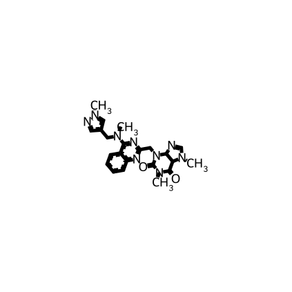 CN1C(=O)C2C(N=CN2C)N(Cc2nc(N(C)Cc3cnn(C)c3)c3ccccc3n2)C1=O